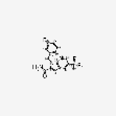 NC(=O)c1cc2cc(C(F)(F)F)cnc2n1Cc1cccc(F)c1